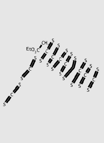 CCOC(C)=O.S=C=S.S=C=S.S=C=S.S=C=S.S=C=S.S=C=S.S=C=S.S=C=S.S=C=S.S=C=S